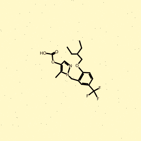 CCC(CC)COc1ccc(C(F)(F)F)cc1Cn1ncc(OC(=O)O)c1C